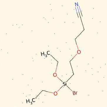 CCO[Si](Br)(CCOCCC#N)OCC